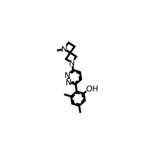 Cc1cc(C)c(-c2ccc(N3CC4(CCN4C)C3)nn2)c(O)c1